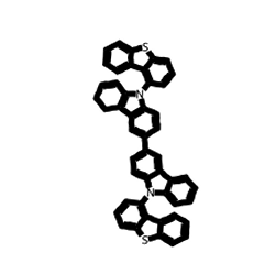 C1=Cc2c(c3cc(-c4ccc5c(c4)c4ccccc4n5-c4cccc5sc6ccccc6c45)ccc3n2-c2cccc3sc4ccccc4c23)CC1